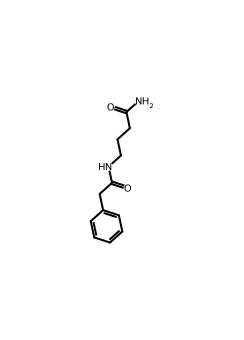 NC(=O)CCCNC(=O)Cc1ccccc1